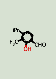 CC(C)c1ccc(C=O)c(O)c1C(F)(F)F